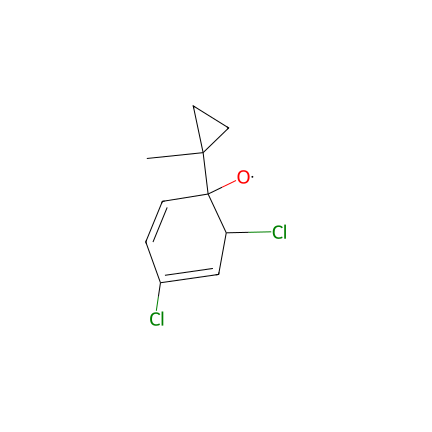 CC1(C2([O])C=CC(Cl)=CC2Cl)CC1